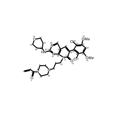 C=CC(=O)N1CCN(CCCn2c(=O)c(-c3c(Cl)c(OC)cc(OC)c3Cl)cc3cnc(NC4CCOCC4)nc32)CC1